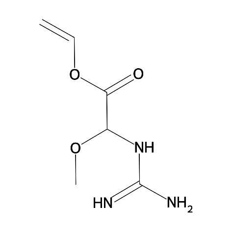 C=COC(=O)C(NC(=N)N)OC